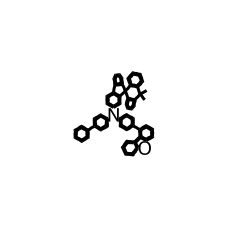 CC1(C)c2ccccc2C2(c3ccccc3-c3ccc(N(c4ccc(-c5ccccc5)cc4)c4ccc(-c5cccc6oc7ccccc7c56)cc4)cc32)c2ccccc21